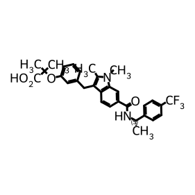 Cc1c(Cc2cccc(OC(C)(C)C(=O)O)c2)c2ccc(C(=O)N[C@@H](C)c3ccc(C(F)(F)F)cc3)cc2n1C